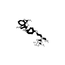 CCN(CCOc1ccc(NC(=O)c2c[nH]c3c2-c2nc(C)sc2CCC3)cc1)C(=O)OC(C)(C)C